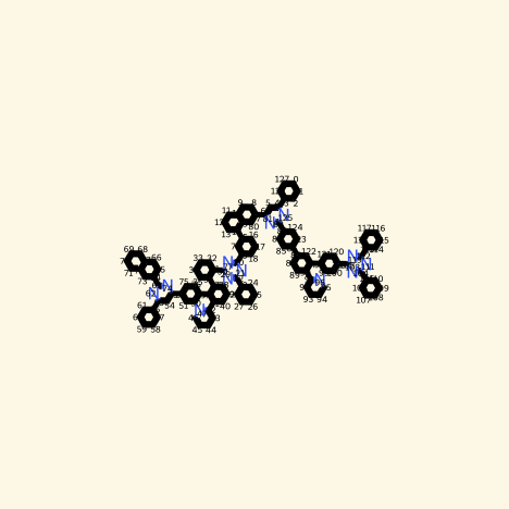 c1ccc(-c2cc(-c3ccc4cccc(-c5cccc(-c6nc(-c7ccccc7)nc(-c7ccccc7-c7cccc(-c8ccccn8)c7-c7ccc(-c8cc(-c9ccccc9)nc(-c9ccc%10ccccc%10c9)n8)cc7)n6)c5)c4c3)nc(-c3ccc(-c4ccc(-c5ccccn5)c(-c5ccc(-c6nc(-c7ccccc7)nc(-c7ccccc7)n6)cc5)c4)cc3)n2)cc1